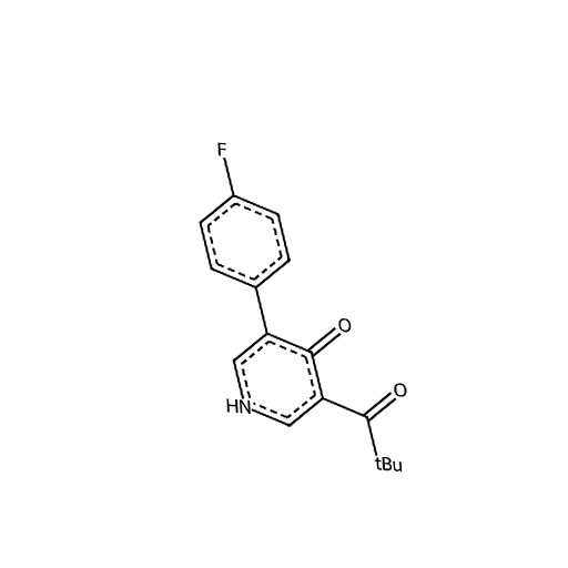 CC(C)(C)C(=O)c1c[nH]cc(-c2ccc(F)cc2)c1=O